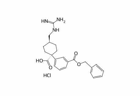 Cl.N=C(N)NC[C@H]1CC[C@@](C(=O)O)(c2cccc(C(=O)OCc3ccccc3)c2)CC1